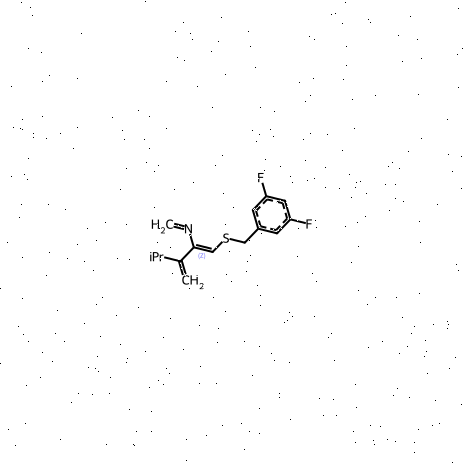 C=N/C(=C\SCc1cc(F)cc(F)c1)C(=C)C(C)C